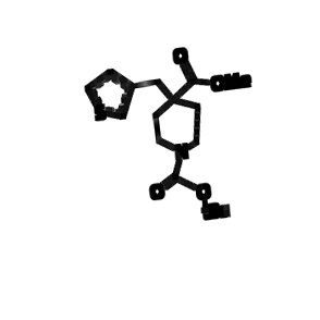 COC(=O)C1(Cc2ccsc2)CCN(C(=O)OC(C)(C)C)CC1